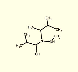 CNN(C(O)C(C)C)C(O)C(C)C